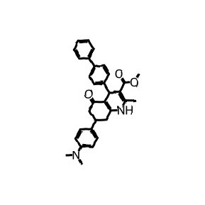 COC(=O)C1=C(C)NC2=C(C(=O)CC(c3ccc(N(C)C)cc3)C2)C1c1ccc(-c2ccccc2)cc1